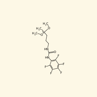 CO[Si](C)(CCCNC(=O)Nc1c(F)c(F)c(F)c(F)c1F)OC